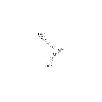 [Al+3].[Ca+2].[Cl-].[Cl-].[Cl-].[Cl-].[Cl-].[Cl-].[Cl-].[Fe+2]